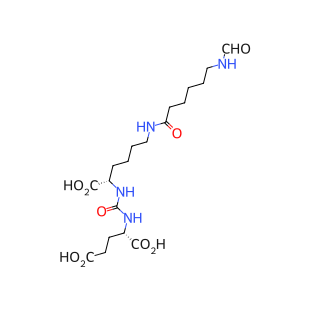 O=CNCCCCCC(=O)NCCCC[C@H](NC(=O)N[C@@H](CCC(=O)O)C(=O)O)C(=O)O